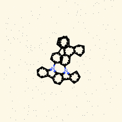 c1ccc(-c2ccc(-n3c4ccccc4c4ccc5c6ccccc6n(-c6ccc7c8ccccc8c8ccccc8c7c6)c5c43)cc2)cc1